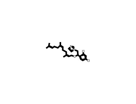 CC(C)=CCCC(C)=CCCC(C)=CCOC(Cn1ccnc1)c1ccc(Cl)cc1Cl